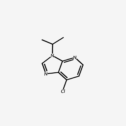 CC(C)n1cnc2c(Cl)ccnc21